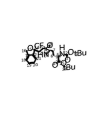 CC(C)(C)OC(=O)N[C@@H](CCS(=N)(=O)CCC1(C(F)(F)F)OCc2ccccc21)C(=O)OC(C)(C)C